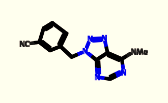 CNc1ncnc2c1nnn2Cc1cccc(C#N)c1